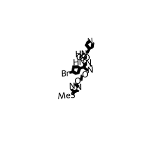 CSc1cnc(OCCOc2ncnc(NS(=O)(=O)NCc3ccncc3)c2-c2ccc(Br)cc2)nc1